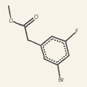 COC(=O)Cc1cc(F)cc(Br)c1